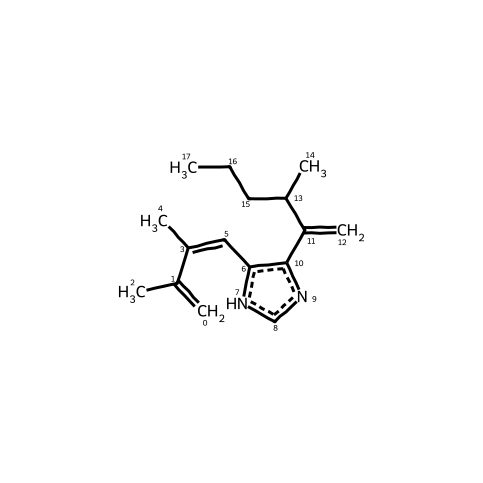 C=C(C)/C(C)=C\c1[nH]cnc1C(=C)C(C)CCC